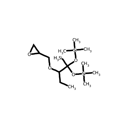 CCC(OCC1CO1)C([SiH3])(O[Si](C)(C)C)O[Si](C)(C)C